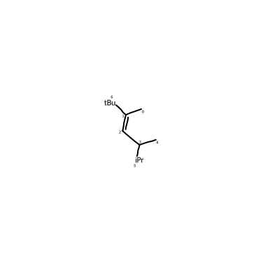 C/C(=C\C(C)C(C)C)C(C)(C)C